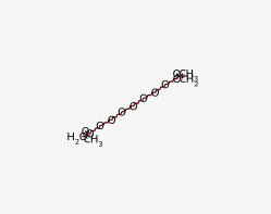 C=C(C)C(=O)OCCCCOCCCCOCCCCOCCCCOCCCCOCCCCOCCCCOCCCCOC(=O)C(=C)C